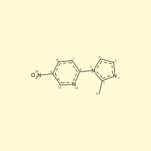 Cc1nccn1-c1ccc([N+](=O)[O-])cn1